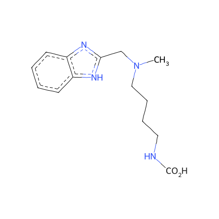 CN(CCCCNC(=O)O)Cc1nc2ccccc2[nH]1